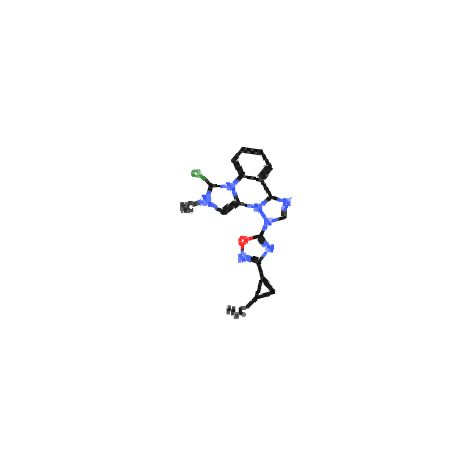 CC1CC1c1noc(N2C=NC3c4ccccc4N4C(=CN(C#N)C4Cl)N32)n1